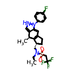 CCN(C[C@H]1CCC2=C1[C@@H](C)C1=CNN(c3ccc(F)cc3)C1=C2)S(=O)(=O)CC(F)(F)F